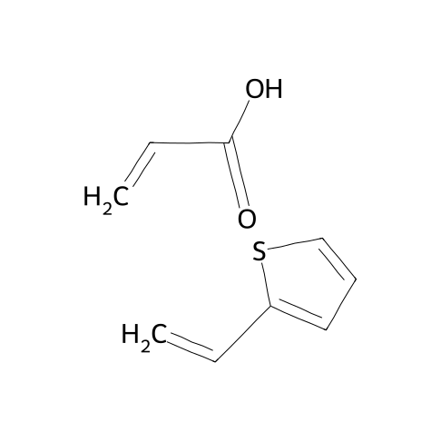 C=CC(=O)O.C=Cc1cccs1